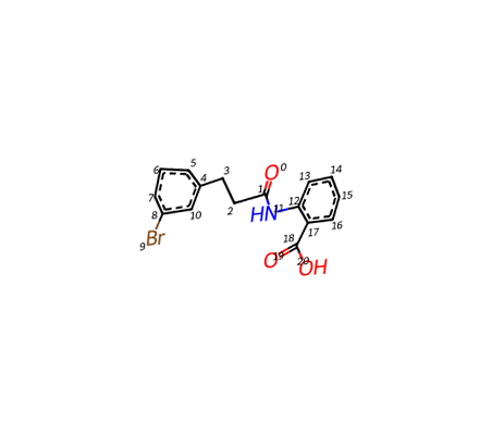 O=C(CCc1cccc(Br)c1)Nc1ccccc1C(=O)O